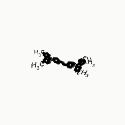 Cc1ccc2c(c1)-c1cc(C)ccc1B2c1ccc(/C=C/c2ccc(-n3c4ccc(C)cc4c4cc(C)ccc43)cc2)cc1